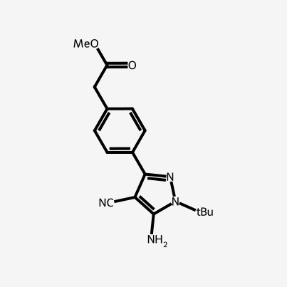 COC(=O)Cc1ccc(-c2nn(C(C)(C)C)c(N)c2C#N)cc1